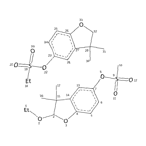 CCOC1Oc2ccc(OS(C)(=O)=O)cc2C1(C)C.CCS(=O)(=O)Oc1ccc2c(c1)C(C)(C)CO2